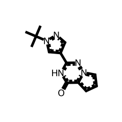 CC(C)(C)n1cc(-c2nn3cccc3c(=O)[nH]2)cn1